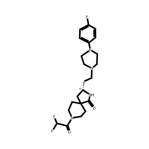 O=C(C(F)F)N1CCC2(CC1)C[C@H](CCN1CCN(c3ccc(F)cc3)CC1)NC2=O